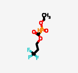 CCO[PH](=O)C(=O)OCCC(F)(F)F